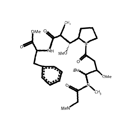 CCC(C)C(C(CC(=O)N1CCCC1[C@H](OC)C(C)C(=O)NC(Cc1ccccc1)C(=O)OC)OC)N(C)C(=O)CNC